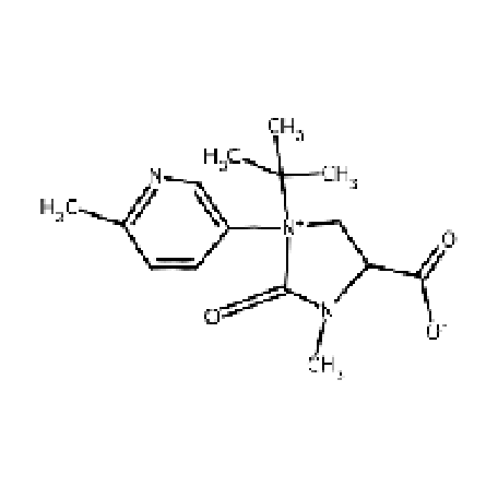 Cc1ccc([N+]2(C(C)(C)C)CC(C(=O)[O-])N(C)C2=O)cn1